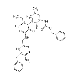 CC[C@H](C)C(NC(=O)[C@H](CC(C)C)NC(=O)OCc1ccccc1)C(=O)C(=O)NCC(=O)N[C@@H](Cc1ccccc1)C(N)=O